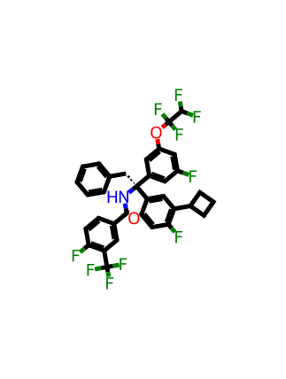 O=C(N[C@@](Cc1ccccc1)(c1cc(F)cc(OC(F)(F)C(F)F)c1)c1ccc(F)c(C2CCC2)c1)c1ccc(F)c(C(F)(F)F)c1